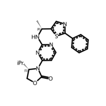 CC(C)[C@H]1COC(=O)N1c1ccnc(N[C@H](C)c2cnc(-c3ccccc3)s2)n1